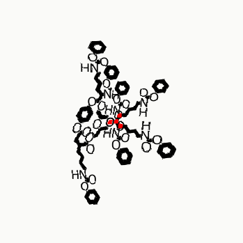 O=C(CC(CCCCNC(=O)Oc1ccccc1)C(=O)OCC(COC(=O)C(CCCCNC(=O)Oc1ccccc1)NC(=O)Oc1ccccc1)OC(COC(=O)C(CCCCNC(=O)Oc1ccccc1)NCOc1ccccc1)COC(=O)C(CCCCNC(=O)Oc1ccccc1)NC(=O)Oc1ccccc1)Oc1ccccc1